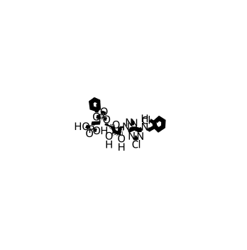 O=P(O)(O)CC[P@@](=O)(OC[C@H]1O[C@@H](n2nnc3c(NCc4ccccc4Cl)nc(Cl)nc32)[C@H](O)[C@@H]1O)Oc1ccccc1